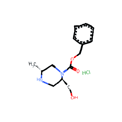 C[C@@H]1CN(C(=O)OCc2ccccc2)[C@@H](CO)CN1.Cl